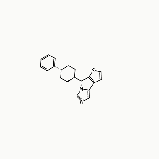 c1ccc([C@H]2CC[C@H]([C@@H]3c4sccc4-c4cncn43)CC2)cc1